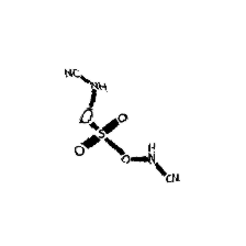 N#CNOS(=O)(=O)ONC#N